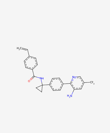 C=Cc1ccc(C(=O)NC2(c3ccc(-c4ncc(C(F)(F)F)cc4N)cc3)CC2)cc1